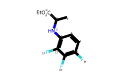 CCOC(=O)C(C)Nc1ccc(F)c(F)c1F